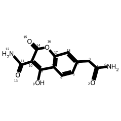 NC(=O)Cc1ccc2c(O)c(C(N)=O)c(=O)oc2c1